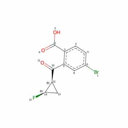 O=C(O)c1ccc(Br)cc1C(=O)[C@H]1C[C@H]1F